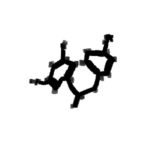 CC(C)c1ccc(CC(C)c2cc(F)cc(F)c2)cc1